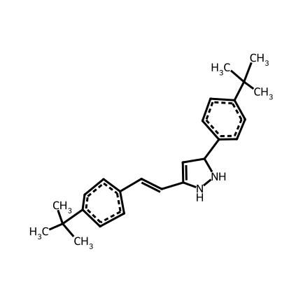 CC(C)(C)c1ccc(C=CC2=CC(c3ccc(C(C)(C)C)cc3)NN2)cc1